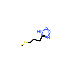 CSCCCc1nnn[nH]1